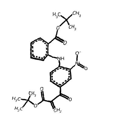 C=C(C(=O)OC(C)(C)C)C(=O)c1ccc(Nc2ccccc2C(=O)OC(C)(C)C)c([N+](=O)[O-])c1